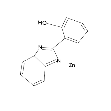 Oc1ccccc1C1=NC2C=CC=CC2=N1.[Zn]